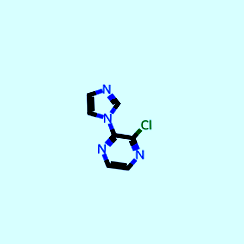 Clc1nccnc1-n1ccnc1